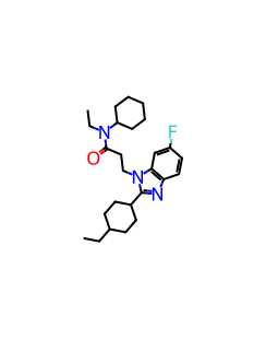 CCC1CCC(c2nc3ccc(F)cc3n2CCC(=O)N(CC)C2CCCCC2)CC1